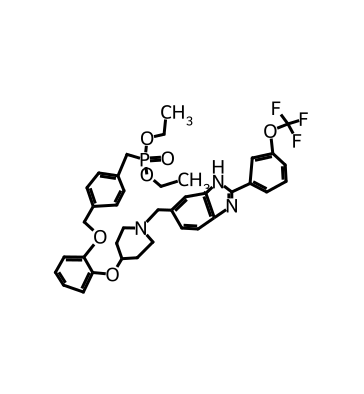 CCOP(=O)(Cc1ccc(COc2ccccc2OC2CCN(Cc3ccc4nc(-c5cccc(OC(F)(F)F)c5)[nH]c4c3)CC2)cc1)OCC